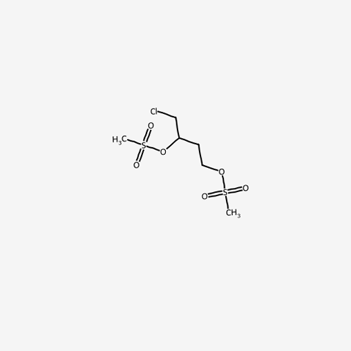 CS(=O)(=O)OCCC(CCl)OS(C)(=O)=O